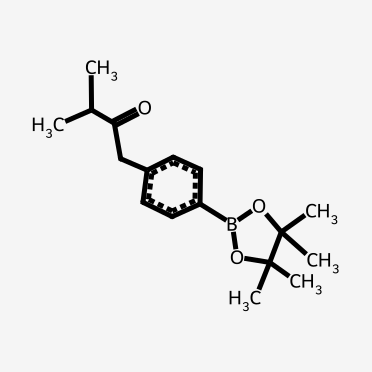 CC(C)C(=O)Cc1ccc(B2OC(C)(C)C(C)(C)O2)cc1